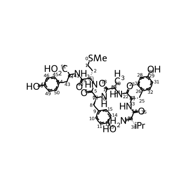 CSCC[C@H](NC(=O)[C@H](Cc1ccc(O)cc1)NC(=O)[C@H](C)NC(=O)[C@H](Cc1ccc(O)cc1)NC(=O)[C@@H](N)C(C)C)C(=O)N[C@@H](Cc1ccc(O)cc1)C(=O)O